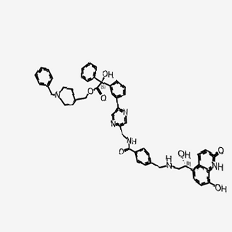 O=C(NCc1cnc(-c2cccc([C@](O)(C(=O)OCC3CCN(Cc4ccccc4)CC3)c3ccccc3)c2)cn1)c1ccc(CNC[C@H](O)c2ccc(O)c3[nH]c(=O)ccc23)cc1